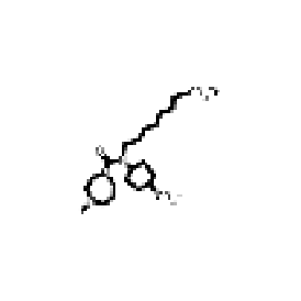 CCOC(=O)CCCCCCCN(C(=O)N1CCCN(C)CC1)C1CCC(C(=O)O)CC1